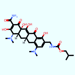 CC(C)COC(=O)NCc1cc(N(C)C)c2c(c1O)C(=O)C1=C(O)[C@@]3(O)C(=O)C(C(N)=O)=C(O)[C@H](N(C)C)[C@H]3C[C@H]1C2